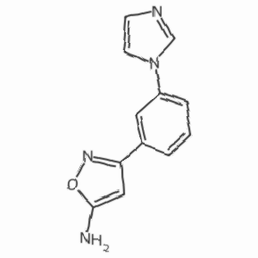 Nc1cc(-c2cccc(-n3ccnc3)c2)no1